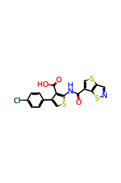 O=C(O)c1c(-c2ccc(Cl)cc2)csc1NC(=O)c1csc2cnsc12